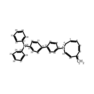 C=C1/C=C\C=C/CN(c2ccc(-c3ccc(N(c4ccccc4)c4ccccc4)cc3)cc2)/C=C\1